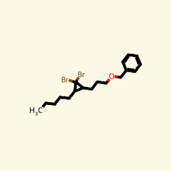 CCCCCC1C(CCCOCc2ccccc2)C1(Br)Br